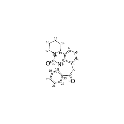 O=C1Cc2ccccc2N(C(=O)N2CCCCC2)c2ccccc21